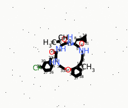 CC1CCNC(=O)[C@H](CC2CC2)NC(=O)[C@@H](C(C)C)NC(=O)[C@@H](Cc2cccc(Cl)c2)NCCOc2ccccc21